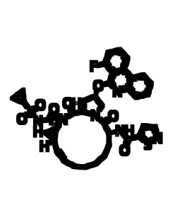 O=C(N[C@H]1CCCCC/C=C\[C@@H]2C[C@@]2(C(=O)NS(=O)(=O)C2CC2)NC(=O)[C@@H]2C[C@@H](Oc3nc4ccccc4c4cccc(F)c34)CN2C1=O)c1ccns1